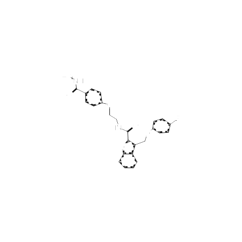 O=C(NO)c1ccc(OCCNC(=O)c2oc3ccccc3c2COc2ccc(F)cc2)cc1